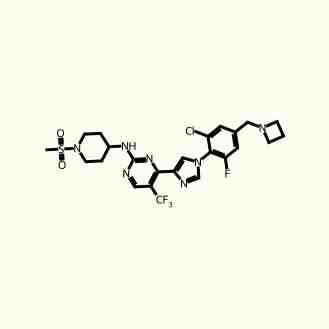 CS(=O)(=O)N1CCC(Nc2ncc(C(F)(F)F)c(-c3cn(-c4c(F)cc(CN5CCC5)cc4Cl)cn3)n2)CC1